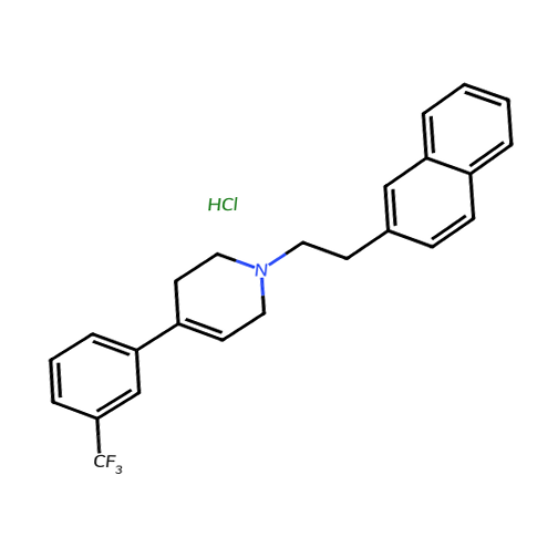 Cl.FC(F)(F)c1cccc(C2=CCN(CCc3ccc4ccccc4c3)CC2)c1